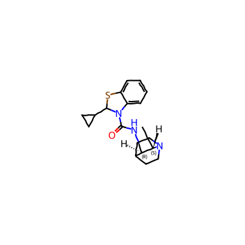 C[C@H]1[C@H](NC(=O)N2c3ccccc3SC2C2CC2)C2CCN1CC2